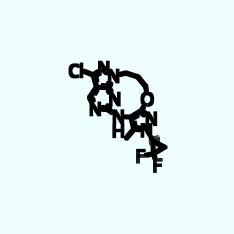 Cc1c2c(nn1[C@H]1CC1(F)F)OCCCn1nc(Cl)c3cnc(nc31)N2